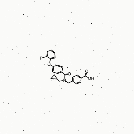 O=C(O)c1ccc(CN(CC2CC2)C(=O)c2ccc(Oc3ccccc3F)cc2)cc1